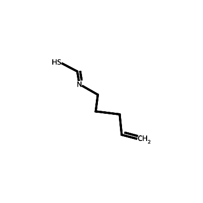 C=CCCCN=CS